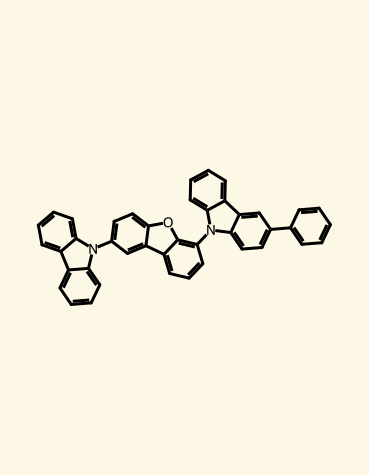 c1ccc(-c2ccc3c(c2)c2ccccc2n3-c2cccc3c2oc2ccc(-n4c5ccccc5c5ccccc54)cc23)cc1